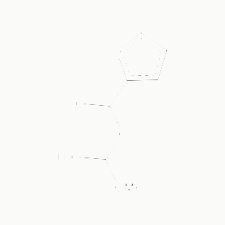 COC(C)OC(C)c1ccco1